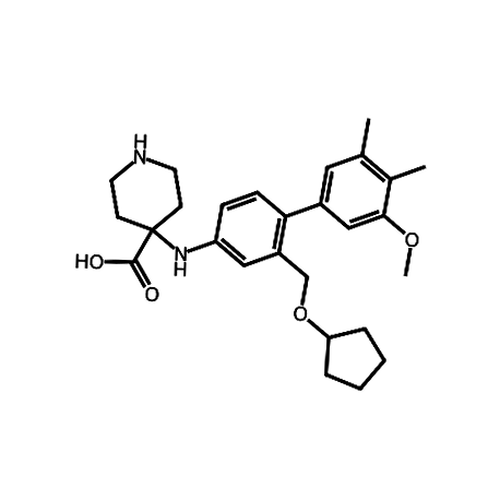 COc1cc(-c2ccc(NC3(C(=O)O)CCNCC3)cc2COC2CCCC2)cc(C)c1C